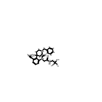 CC1(c2c(C#N)cccc2N(C=O)CC(=O)NCC(F)(F)F)CCN(Cc2ccccc2)CC1